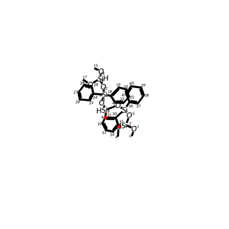 CO[SiH](OC)O[Si](O[SiH](C)O[Si](O[SiH](OC)OC)(c1ccccc1)c1ccccc1)(c1ccccc1)c1ccccc1